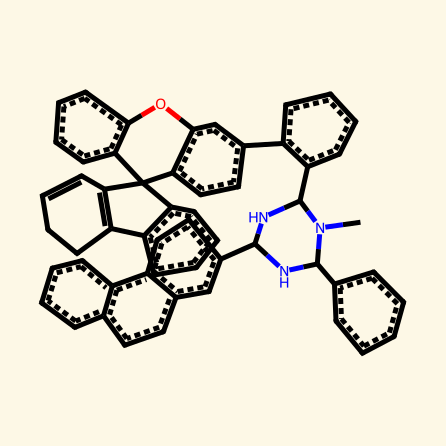 CN1C(c2ccccc2)NC(c2ccc3c(ccc4ccccc43)c2)NC1c1ccccc1-c1ccc2c(c1)Oc1ccccc1C21C2=C(CCC=C2)c2ccccc21